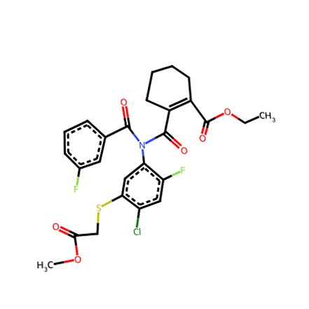 CCOC(=O)C1=C(C(=O)N(C(=O)c2cccc(F)c2)c2cc(SCC(=O)OC)c(Cl)cc2F)CCCC1